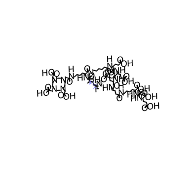 C=N/C(F)=C\C=C(/C)C(=O)NC(CCCCNC(=O)CN1CCN(CC(=O)O)CCN(CC(=O)O)CCN(CC(=O)O)CC1)C(=O)NCCCCCC(=O)NC(CCC(=O)O)C(=O)NC(CCC(=O)O)C(=O)NC(CCC(=O)O)C(=O)NCCCC(=O)NCCCCC(NC(=O)NC(CCC(=O)O)C(=O)O)C(=O)O